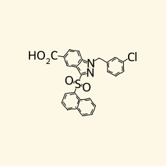 O=C(O)c1ccc2c(c1)c(S(=O)(=O)c1cccc3ccccc13)nn2Cc1cccc(Cl)c1